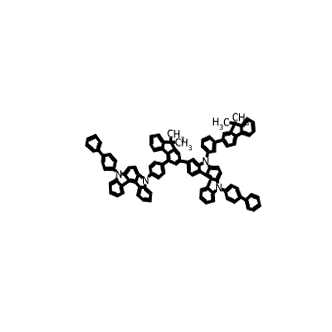 CC1(C)c2ccccc2-c2ccc(-c3cccc(-n4c5cc(-c6cc(-c7ccc(-n8c9ccccc9c9c%10c%11ccccc%11n(-c%11ccc(-c%12ccccc%12)cc%11)c%10ccc98)cc7)c7c(c6)C(C)(C)c6ccccc6-7)ccc5c5c6c7ccccc7n(-c7ccc(-c8ccccc8)cc7)c6ccc54)c3)cc21